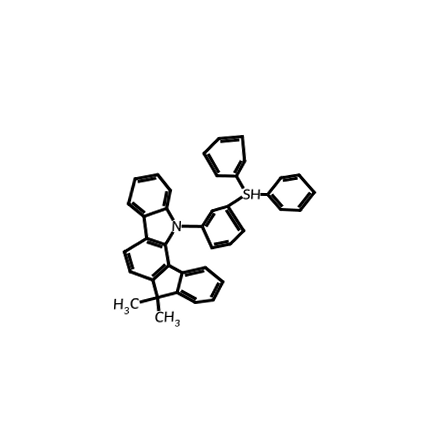 CC1(C)c2ccccc2-c2c1ccc1c3ccccc3n(-c3cccc([SH](c4ccccc4)c4ccccc4)c3)c21